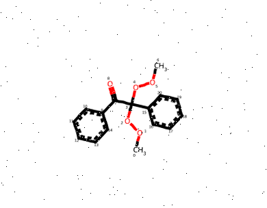 COOC(OOC)(C(=O)c1ccccc1)c1ccccc1